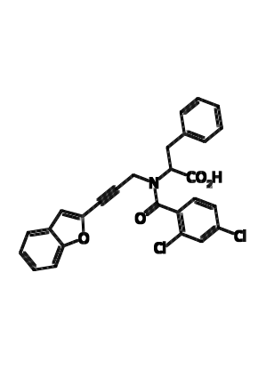 O=C(O)C(Cc1ccccc1)N(CC#Cc1cc2ccccc2o1)C(=O)c1ccc(Cl)cc1Cl